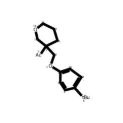 CC(=O)C1(COc2ccc(C(C)(C)C)cc2)CCCOC1